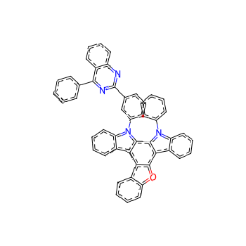 c1ccc(-c2nc(-c3cccc(-n4c5ccccc5c5c6c7ccccc7oc6c6c7ccccc7n(-c7ccccc7)c6c54)c3)nc3ccccc23)cc1